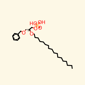 CCCCCCCCCCCCCCCCCCO[C@H](COCc1ccccc1)COP(=O)(O)O